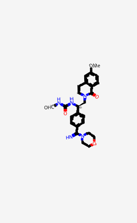 COc1ccc2c(c1)CCN(C[C@H](NC(=O)NC=O)c1ccc(C(=N)N3CCOCC3)cc1)C2=O